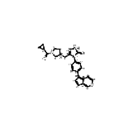 O=C(C1CC1)N1CC[C@@H](Cc2n[nH]c(=O)n2-c2ccc(-c3ccc4coccc3-4)cc2)C1